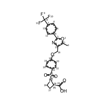 Cc1oc(-c2ccc(C(F)(F)F)cc2)nc1COc1ccc(S(=O)(=O)N2CC[C@@H]2C(=O)O)cc1